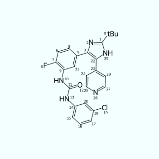 CC(C)(C)c1nc(-c2ccc(F)c(NC(=O)Nc3cccc(Cl)c3)c2)c(-c2ccncc2)[nH]1